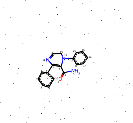 NC(=O)C1=C(c2ccccc2)N=[C]CN1c1ccccc1